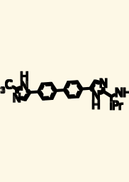 Cc1ncc(-c2ccc(-c3ccc(-c4cnc(C(N)C(C)C)[nH]4)cc3)cc2)[nH]1